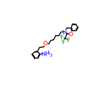 Nc1ccccc1CCOCCCCCCN(Cc1ccccc1)C(=O)C(F)(F)F